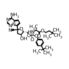 C[C@H](NP(=O)(OC[C@H]1OC(C#N)(c2ccc3c(N)ncnn23)C[C@@H]1O)Oc1ccc(C(C)(C)C)cc1)C(=O)OCCC(C)(C)C